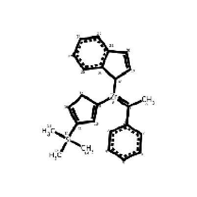 C/[C](c1ccccc1)=[Zr](/[C]1=CC([Si](C)(C)C)=CC1)[CH]1C=Cc2ccccc21